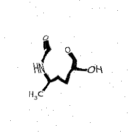 CC(CC(=O)O)NC=O